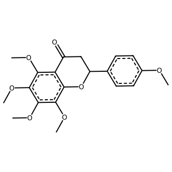 COc1ccc(C2CC(=O)c3c(OC)c(OC)c(OC)c(OC)c3O2)cc1